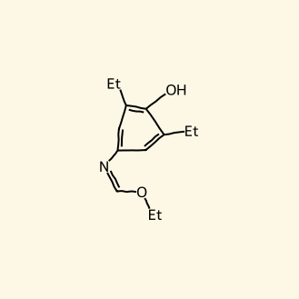 CCO/C=N\c1cc(CC)c(O)c(CC)c1